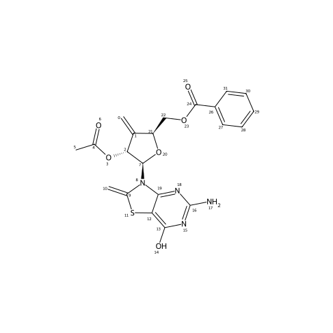 C=C1[C@@H](OC(C)=O)[C@H](N2C(=C)Sc3c(O)nc(N)nc32)O[C@@H]1COC(=O)c1ccccc1